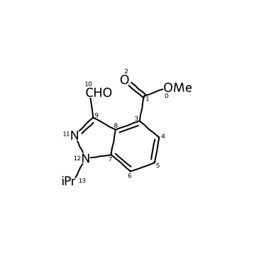 COC(=O)c1cccc2c1c(C=O)nn2C(C)C